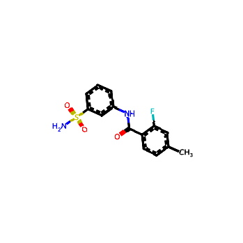 Cc1ccc(C(=O)Nc2cccc(S(N)(=O)=O)c2)c(F)c1